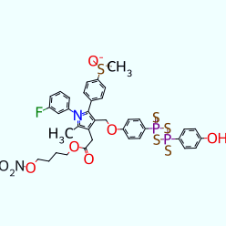 Cc1c(CC(=O)OCCCCO[N+](=O)[O-])c(COc2ccc(P3(=S)SP(=S)(c4ccc(O)cc4)S3)cc2)c(-c2ccc([S+](C)[O-])cc2)n1-c1cccc(F)c1